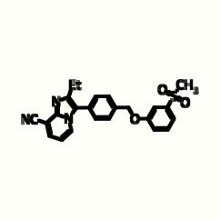 CCc1nc2c(C#N)cccn2c1-c1ccc(COc2cccc(S(C)(=O)=O)c2)cc1